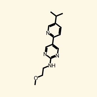 COCCNc1ncc(-c2ccc(C(C)C)cn2)cn1